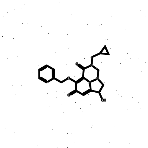 O=C1c2c(OCc3ccccc3)c(=O)cc3n2N(CC3O)CN1CC1CC1